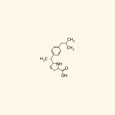 CC(C)Cc1ccc([C@@H](C)C2NC(C(=O)O)CS2)cc1